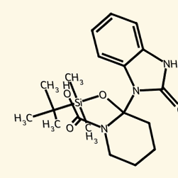 CC(C)(C)[Si](C)(C)OC1(n2c(=O)[nH]c3ccccc32)CCCCN1C(=O)O